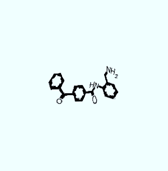 NCc1cc[c]cc1NC(=O)c1ccc(C(=O)c2ccccc2)cc1